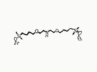 CCO[Si](C)(C)CCCCOCCNCCOCCCC[Si](C)(C)OCC